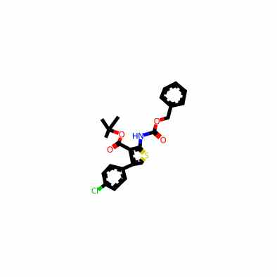 CC(C)(C)OC(=O)c1c(-c2ccc(Cl)cc2)csc1NC(=O)OCc1ccccc1